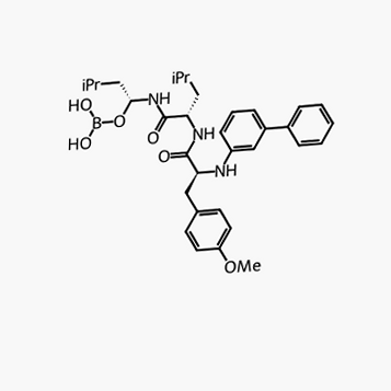 COc1ccc(C[C@H](Nc2cccc(-c3ccccc3)c2)C(=O)N[C@@H](CC(C)C)C(=O)N[C@@H](CC(C)C)OB(O)O)cc1